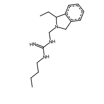 CCCCNC(=N)NCN1Cc2ccccc2C1CC